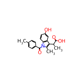 Cc1ccc(C(=O)n2c(C)c(C(C)C(=O)O)c3cc(O)ccc32)cc1